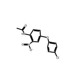 CC(=O)Nc1ccc(Oc2ccc(Cl)cc2)cc1[N+](=O)[O-]